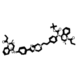 CCC(=O)N1c2ccccc2[C@H](N(C(=O)OC(C)(C)C)c2ccc(CCN3CCn4cc(-c5ccc(N[C@@H]6C[C@H](C)N(C(=O)CC)c7ccccc76)cc5)nc4C3)cc2)C[C@@H]1C